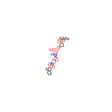 CNS(=O)(=O)c1cccc(OCC(O)CN[C@H]2COC3(CCN(S(=O)(=O)c4cnc5ccccc5c4)CC3)C2)c1